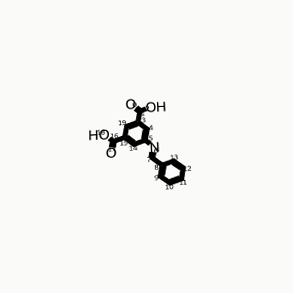 O=C(O)c1cc(N=Cc2ccccc2)cc(C(=O)O)c1